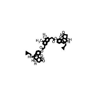 Cc1cc(CC(=O)Oc2ccc3c4c2O[C@H]2C(=O)CC[C@@]5(O)[C@@H](C3)C(NCC3CC3)CC[C@]425)cc2cc(CC(=O)Oc3ccc4c5c3O[C@H]3C(=O)CC[C@@]6(O)[C@@H](C4)N(CC4CC4)CC[C@]536)cc(C)c12